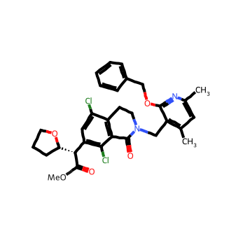 COC(=O)[C@@H](c1cc(Cl)c2c(c1Cl)C(=O)N(Cc1c(C)cc(C)nc1OCc1ccccc1)CC2)C1CCCO1